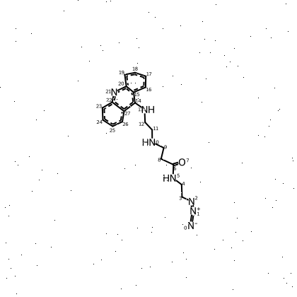 [N-]=[N+]=NCCNC(=O)CCNCCNc1c2ccccc2nc2ccccc12